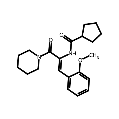 COc1ccccc1C=C(NC(=O)C1CCCC1)C(=O)N1CCCCC1